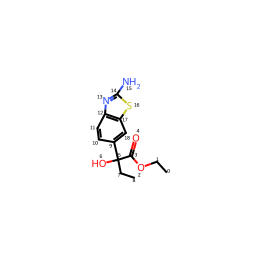 CCOC(=O)C(O)(CC)c1ccc2nc(N)sc2c1